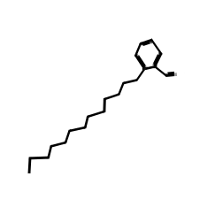 CCCCCCCCCCCCCc1ccccc1C=O